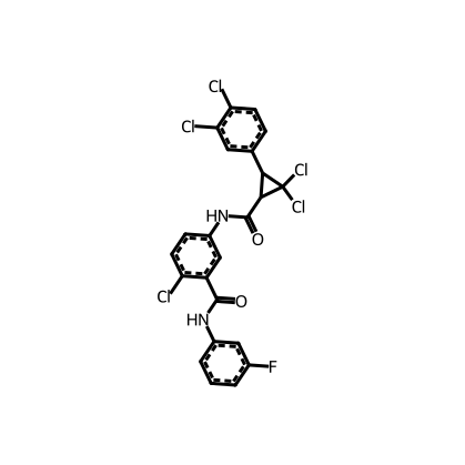 O=C(Nc1cccc(F)c1)c1cc(NC(=O)C2C(c3ccc(Cl)c(Cl)c3)C2(Cl)Cl)ccc1Cl